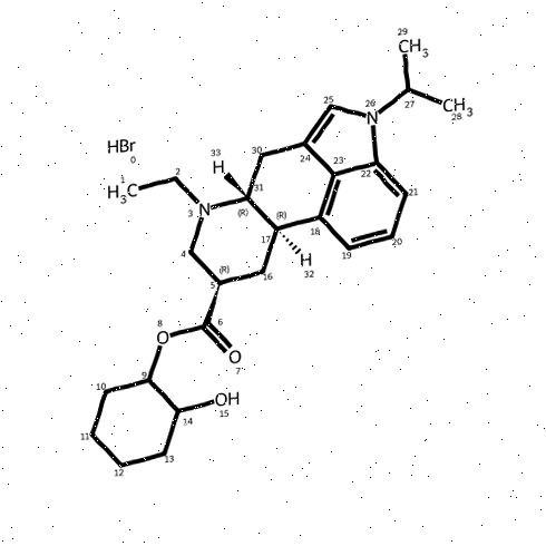 Br.CCN1C[C@H](C(=O)OC2CCCCC2O)C[C@@H]2c3cccc4c3c(cn4C(C)C)C[C@H]21